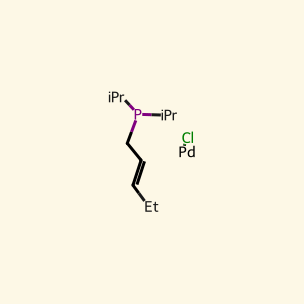 CCC=CCP(C(C)C)C(C)C.[Cl][Pd]